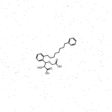 O=C(O)CSC(c1ccccc1CCCCCCCCc1ccccc1)C(O)C(=O)O